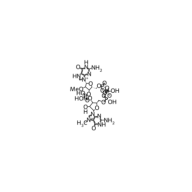 COC1C(OP(=O)(O)O)[C@@H](COP(=O)(O)OP(=O)(O)OP(=O)(O)OC[C@H]2O[C@@H](n3c[n+](C)c4c(=O)[nH]c(N)nc43)C(O)C2O)O[C@H]1[n+]1c[nH]c2c(=O)[nH]c(N)nc21